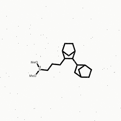 CO[SiH](CCCC1C2CCC(C2)C1C1CC2CCC1C2)OC